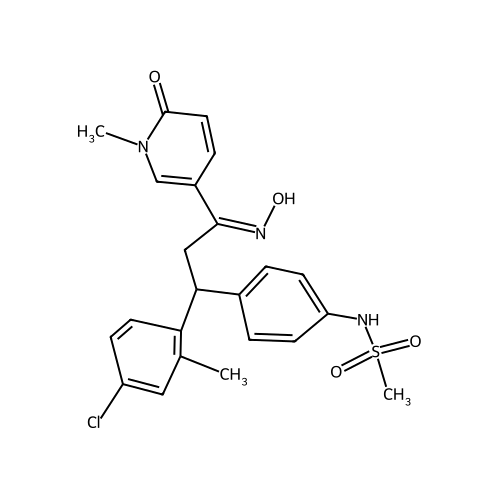 Cc1cc(Cl)ccc1C(CC(=NO)c1ccc(=O)n(C)c1)c1ccc(NS(C)(=O)=O)cc1